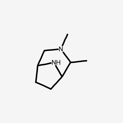 CC1C2CCC(CN1C)N2